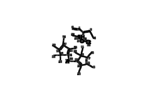 C=CC=CC.CC1=C(C)C(C)(C)[C]([Zr][C]2=C(C)C(C)=C(C)C2(C)C)=C1C.CCO[SiH2]C